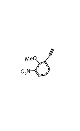 C#Cc1cccc([N+](=O)[O-])c1OC